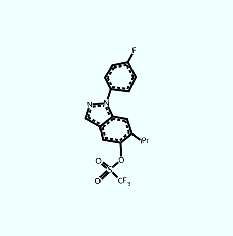 CC(C)c1cc2c(cnn2-c2ccc(F)cc2)cc1OS(=O)(=O)C(F)(F)F